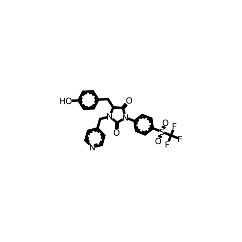 O=C1C(Cc2ccc(O)cc2)N(Cc2ccncc2)C(=O)N1c1ccc(S(=O)(=O)C(F)(F)F)cc1